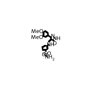 COc1ccc(C2=NNC(=O)C2=CNc2cccc(S(N)(=O)=O)c2)cc1OC